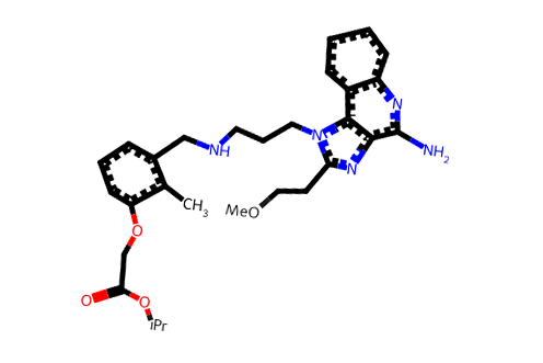 COCCc1nc2c(N)nc3ccccc3c2n1CCCNCc1cccc(OCC(=O)OC(C)C)c1C